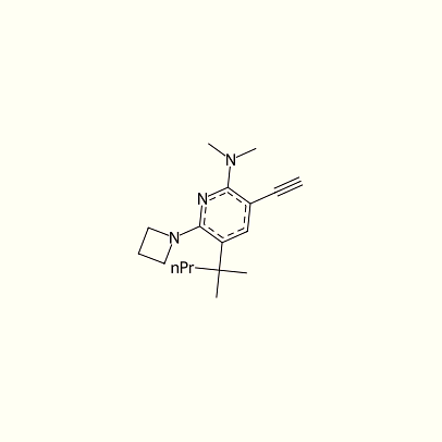 C#Cc1cc(C(C)(C)CCC)c(N2CCC2)nc1N(C)C